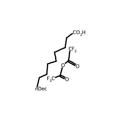 CCCCCCCCCCCCCCCCCC(=O)O.O=C(OC(=O)C(F)(F)F)C(F)(F)F